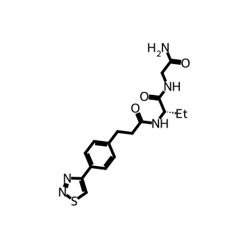 CC[C@H](NC(=O)CCc1ccc(-c2csnn2)cc1)C(=O)NCC(N)=O